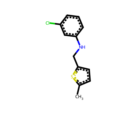 Cc1ccc(CNc2cc[c]c(Cl)c2)s1